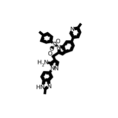 Cc1ccc(S(=O)(=O)n2c(C(=O)c3cnn(-c4ccc5[nH]c(C)nc5c4)c3N)cc3ccc(-c4ccc(C)nc4)cc32)cc1